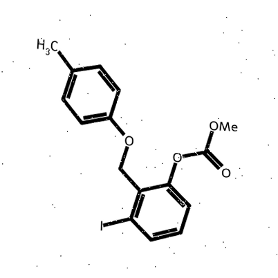 COC(=O)Oc1cccc(I)c1COc1ccc(C)cc1